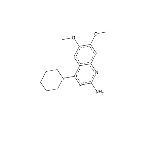 COc1cc2nc(N)nc(N3CCCCC3)c2cc1OC